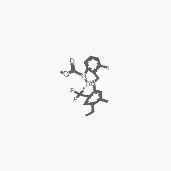 CCc1cc(C(F)(F)F)c(OCc2c(I)cccc2N(O)C(=O)OC)cc1C